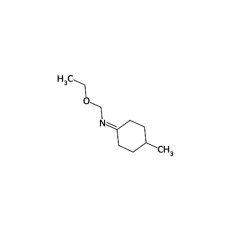 CCOCN=C1CCC(C)CC1